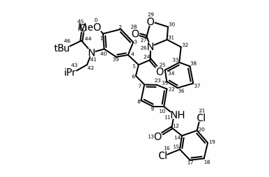 COc1ccc(C(Cc2ccc(NC(=O)c3c(Cl)cccc3Cl)cc2)C(=O)N2C(=O)OCC2Cc2ccccc2)cc1N(CC(C)C)C(=O)C(C)(C)C